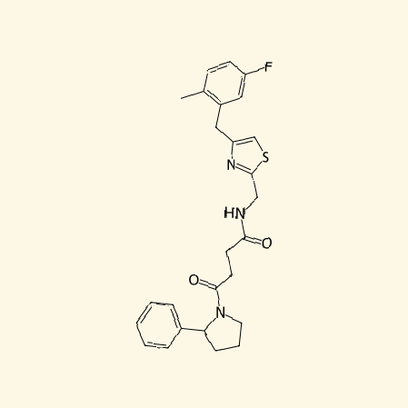 Cc1ccc(F)cc1Cc1csc(CNC(=O)CCC(=O)N2CCCC2c2ccccc2)n1